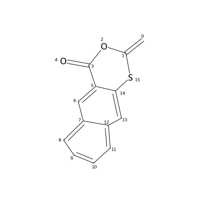 C=C1OC(=O)c2cc3ccccc3cc2S1